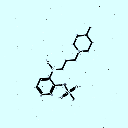 CC1CCN(CCC[S+]([O-])c2ccccc2NS(C)(=O)=O)CC1